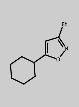 CCc1cc(C2CCCCC2)on1